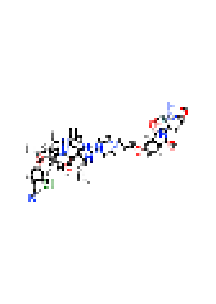 Cc1nc(N2CCN(CCCOc3ccc4c(c3)C(=O)N(C3CCC(=O)NC3=O)C4=O)CC2)nc(C)c1C(=O)NC1C(C)(C)C(Oc2ccc(C#N)c(Cl)c2)C1(C)C